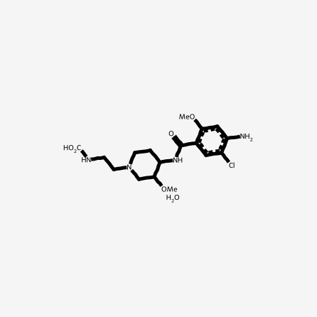 COc1cc(N)c(Cl)cc1C(=O)NC1CCN(CCNC(=O)O)CC1OC.O